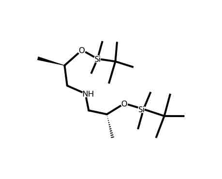 C[C@H](CNC[C@@H](C)O[Si](C)(C)C(C)(C)C)O[Si](C)(C)C(C)(C)C